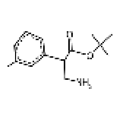 Cc1cccc(C(CN)C(=O)OC(C)(C)C)c1